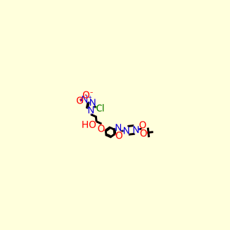 CC(C)(C)OC(=O)N1CCN(c2nc3cc(OCC(O)CCn4cc([N+](=O)[O-])nc4Cl)ccc3o2)CC1